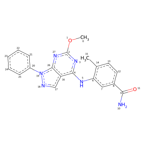 COc1nc(Nc2cc(C(N)=O)ccc2C)c2cnn(-c3ccccc3)c2n1